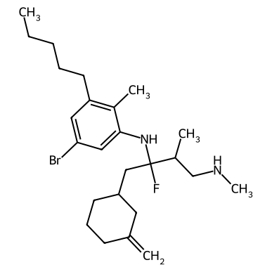 C=C1CCCC(CC(F)(Nc2cc(Br)cc(CCCCC)c2C)C(C)CNC)C1